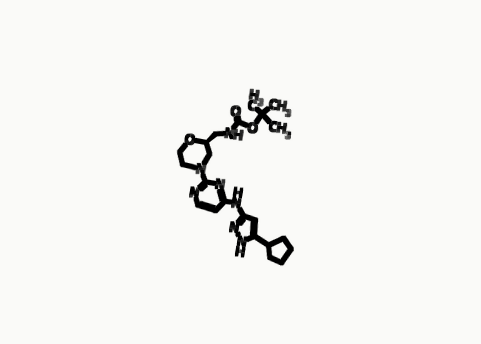 CC(C)(C)OC(=O)NC[C@H]1CN(c2nccc(Nc3cc(C4CCCC4)[nH]n3)n2)CCO1